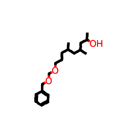 CC(O)CC(C)CC(C)CCCOCOCc1ccccc1